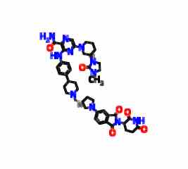 CN1CCN([C@@H]2CCCN(c3cnc(C(N)=O)c(Nc4ccc(C5CCN(C[C@@H]6CCN(c7ccc8c(c7)C(=O)N(C7CCC(=O)NC7=O)C8=O)C6)CC5)cc4)n3)C2)C1=O